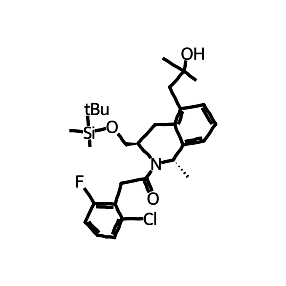 C[C@H]1c2cccc(CC(C)(C)O)c2C[C@H](CO[Si](C)(C)C(C)(C)C)N1C(=O)Cc1c(F)cccc1Cl